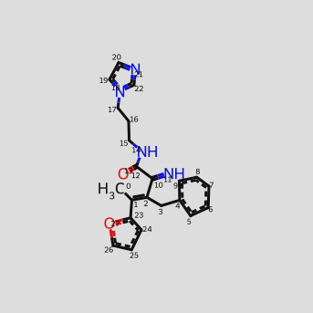 C/C(=C(/Cc1ccccc1)C(=N)C(=O)NCCCn1ccnc1)c1ccco1